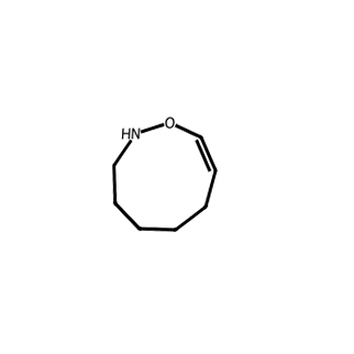 C1=CONCCCCC1